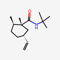 C=C[C@@H]1CC[C@@H](C)[C@](C)(C(=O)NC(C)(C)C)C1